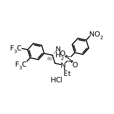 CCN(C[C@@H](N)c1ccc(C(F)(F)F)c(C(F)(F)F)c1)S(=O)(=O)c1ccc([N+](=O)[O-])cc1.Cl